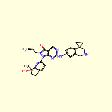 C=CCn1c(=O)c2cnc(Nc3ccc4c(c3)CNCC43CC3)nc2n1-c1ccc2c(n1)[C@@](C)(O)CC2